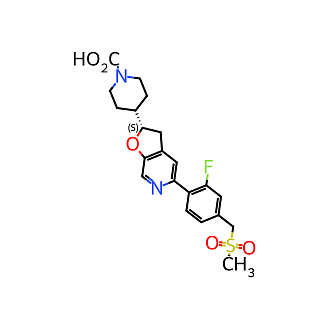 CS(=O)(=O)Cc1ccc(-c2cc3c(cn2)O[C@H](C2CCN(C(=O)O)CC2)C3)c(F)c1